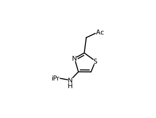 CC(=O)Cc1nc(NC(C)C)cs1